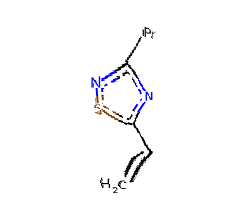 C=Cc1nc(C(C)C)ns1